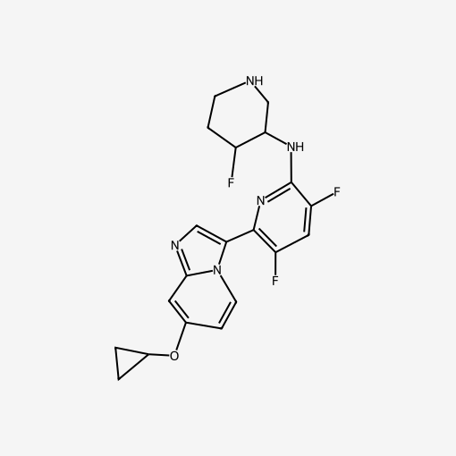 Fc1cc(F)c(-c2cnc3cc(OC4CC4)ccn23)nc1NC1CNCCC1F